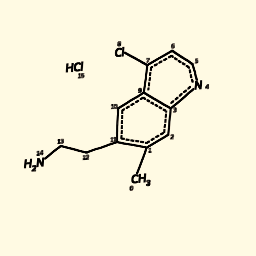 Cc1cc2nccc(Cl)c2cc1CCN.Cl